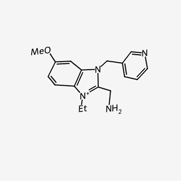 CC[n+]1c(CN)n(Cc2cccnc2)c2cc(OC)ccc21